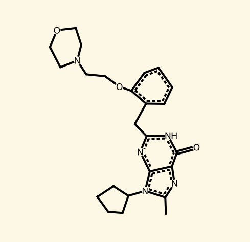 Cc1nc2c(=O)[nH]c(Cc3ccccc3OCCN3CCOCC3)nc2n1C1CCCC1